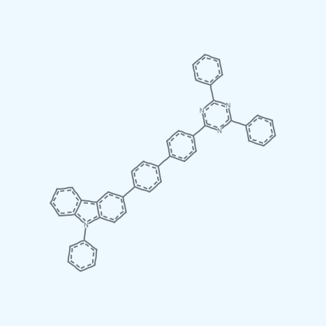 c1ccc(-c2nc(-c3ccccc3)nc(-c3ccc(-c4ccc(-c5ccc6c(c5)c5ccccc5n6-c5ccccc5)cc4)cc3)n2)cc1